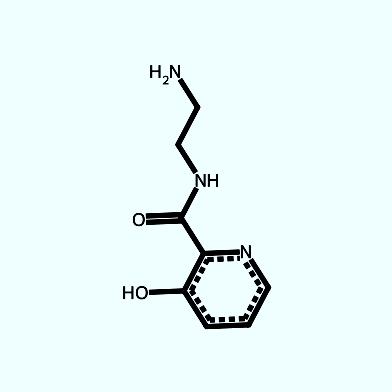 NCCNC(=O)c1ncccc1O